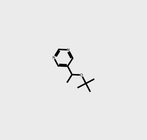 CC(OC(C)(C)C)c1cncnc1